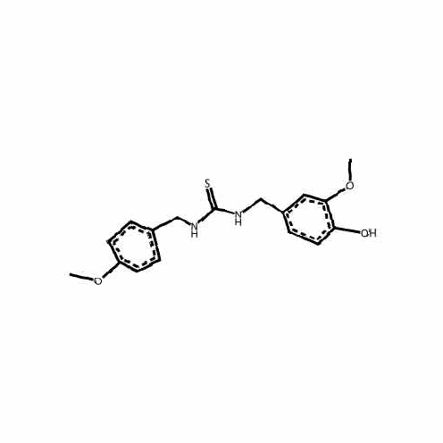 COc1ccc(CNC(=S)NCc2ccc(O)c(OC)c2)cc1